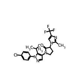 Cc1nc(C(F)(F)F)cn1C1CCN(c2cnn(-c3ccc(Cl)cc3)c2C(C)C)C1=O